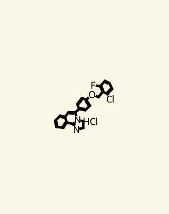 Cl.Fc1cccc(Cl)c1COc1ccc(C2=Cc3ccccc3C3=NCCN23)cc1